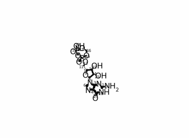 Nc1nc2c(ncn2[C@@H]2O[C@H](COP3(=O)OCOP(=O)(O)O3)C(O)[C@@H]2O)c(=O)[nH]1